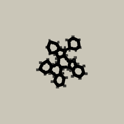 c1ccc(-n2c3ccccc3c3c4c5ccccc5c5ccccc5c4c4c5ccccc5oc4c32)cc1